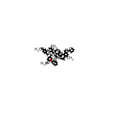 COc1ccc(CN(Cc2ccc(OC)cc2)c2ncc(F)cc2[C@@H](C)N2c3nc(OC[C@@]45CCCN4C[C@H](F)C5)nc4c(F)c(-c5c(C6CC6F)c(C)cc6c5cnn6C5CCCCO5)nc(c34)OC[C@@H]2C)cc1